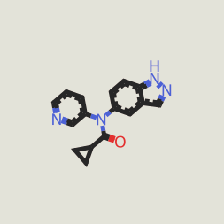 O=C(C1CC1)N(c1cccnc1)c1ccc2[nH]ncc2c1